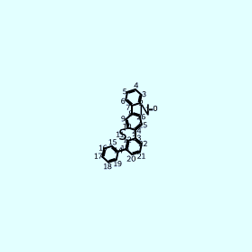 Cn1c2ccccc2c2cc3sc4c(-c5ccccc5)cccc4c3cc21